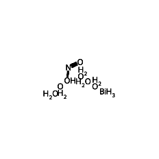 O.O.O.O.O.O=NO.[BiH3]